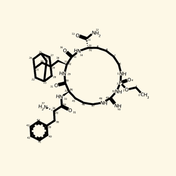 CCOP1(=O)NCCCC[C@@H](C(N)=O)NC(=O)[C@H](CC23CC4CC(CC(C4)C2)C3)NC(=O)[C@H](NC(=O)[C@@H](N)Cc2ccccc2)CCCNC(=N)N1